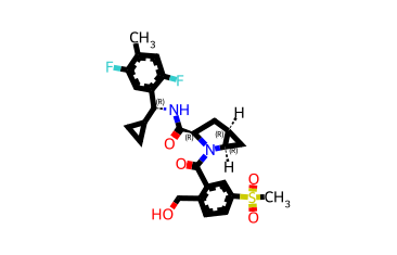 Cc1cc(F)c([C@H](NC(=O)[C@H]2C[C@H]3C[C@H]3N2C(=O)c2cc(S(C)(=O)=O)ccc2CO)C2CC2)cc1F